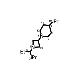 CCC(C(C)C)N1CC(N2CCC(C(C)C)CC2)C1